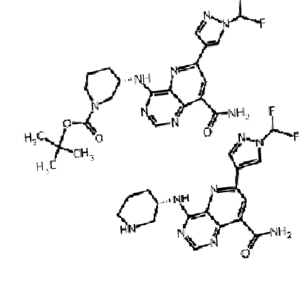 CC(C)(C)OC(=O)N1CCC[C@H](Nc2ncnc3c(C(N)=O)cc(-c4cnn(C(F)F)c4)nc23)C1.NC(=O)c1cc(-c2cnn(C(F)F)c2)nc2c(N[C@H]3CCCNC3)ncnc12